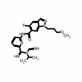 COCCCn1ncc2cc(F)c(C(=O)Nc3cccc(C(=N)N(C=N)C(C)C)n3)cc21